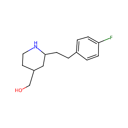 OCC1CCNC(CCc2ccc(F)cc2)C1